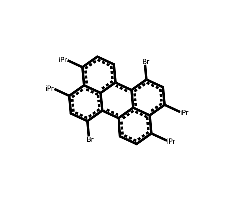 CC(C)c1ccc2c3c(Br)cc(C(C)C)c4c(C(C)C)ccc(c5c(Br)cc(C(C)C)c1c25)c43